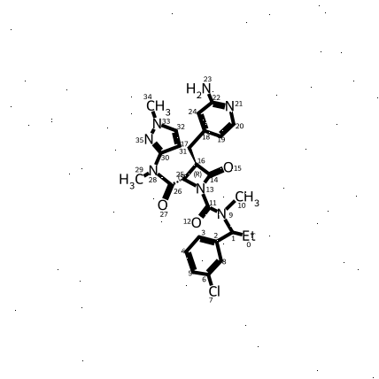 CCC(c1cccc(Cl)c1)N(C)C(=O)N1C(=O)[C@H](Cc2ccnc(N)c2)[C@H]1C(=O)N(C)c1ccn(C)n1